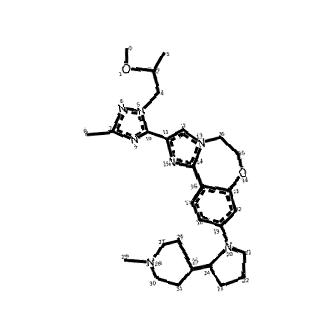 COC(C)Cn1nc(C)nc1-c1cn2c(n1)-c1ccc(N3CCCC3C3CCN(C)CC3)cc1OCC2